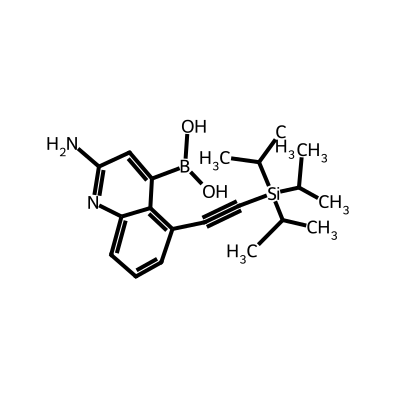 CC(C)[Si](C#Cc1cccc2nc(N)cc(B(O)O)c12)(C(C)C)C(C)C